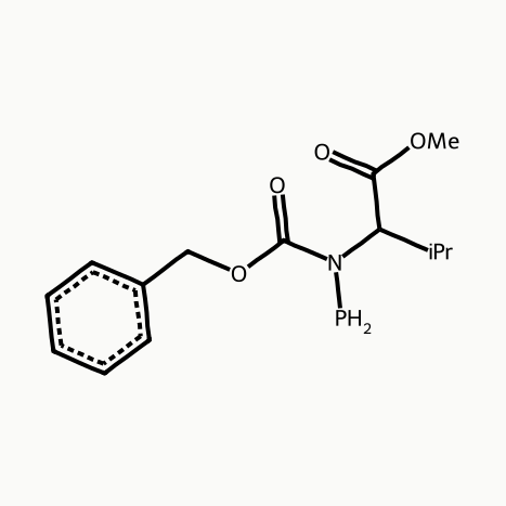 COC(=O)C(C(C)C)N(P)C(=O)OCc1ccccc1